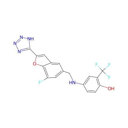 Oc1ccc(NCc2cc(F)c3oc(-c4nnn[nH]4)cc3c2)cc1C(F)(F)F